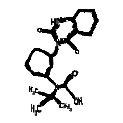 CC(C)(C)N(C(=O)O)C1CCCC(n2c(=O)[nH]c3c(c2=O)CCCC3)C1